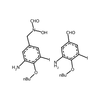 CCCCOc1c(N)cc(C=O)cc1I.CCCCOc1c(N)cc(CN(O)C=O)cc1I